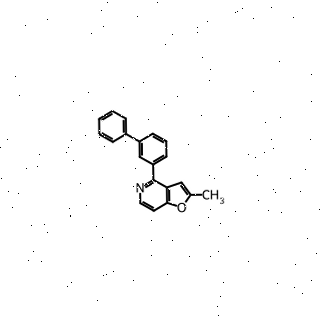 Cc1cc2c(-c3cccc(-c4ccccc4)c3)nccc2o1